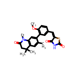 CCN1C(=O)CC(C)(C)c2cc(C)c(-c3cc(C=C4SC(=O)NC4=O)ccc3OC(F)(F)F)cc21